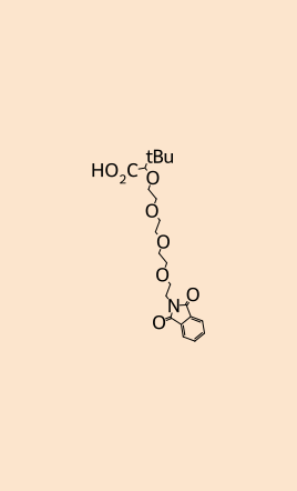 CC(C)(C)C(OCCOCCOCCOCCN1C(=O)c2ccccc2C1=O)C(=O)O